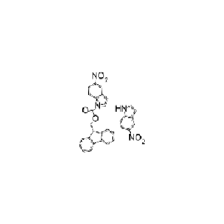 O=C(OCC1c2ccccc2-c2ccccc21)n1ccc2cc([N+](=O)[O-])ccc21.O=[N+]([O-])c1ccc2[nH]ccc2c1